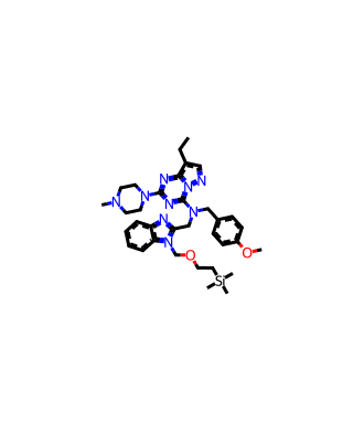 CCc1cnn2c(N(Cc3ccc(OC)cc3)Cc3nc4ccccc4n3COCC[Si](C)(C)C)nc(N3CCN(C)CC3)nc12